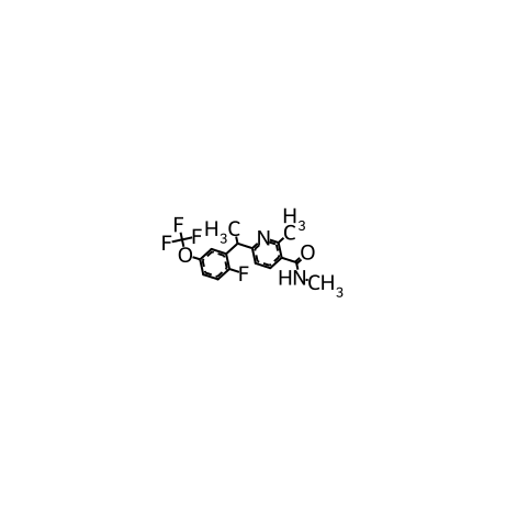 CNC(=O)c1ccc(C(C)c2cc(OC(F)(F)F)ccc2F)nc1C